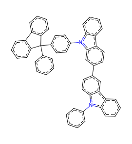 c1ccc(-n2c3ccccc3c3cc(-c4ccc5c6ccccc6n(-c6ccc(C7(c8ccccc8)c8ccccc8-c8ccccc87)cc6)c5c4)ccc32)cc1